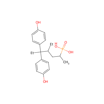 CCC(CC(C)P(=O)(O)O)C(CC)(c1ccc(O)cc1)c1ccc(O)cc1